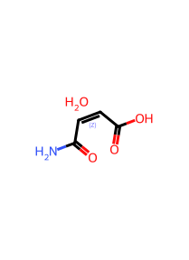 NC(=O)/C=C\C(=O)O.O